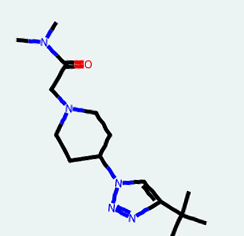 CN(C)C(=O)CN1CCC(n2cc(C(C)(C)C)nn2)CC1